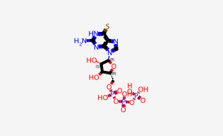 Nc1nc2c(ncn2[C@@H]2O[C@H](COP(=O)(O)OP(=O)(O)OP(=O)(O)O)C(O)[C@@H]2O)c(=S)[nH]1